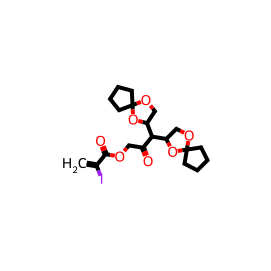 C=C(I)C(=O)OCC(=O)C(C1COC2(CCCC2)O1)C1COC2(CCCC2)O1